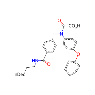 CCCCCCCCCCCCNC(=O)c1ccc(CN(C(=O)C(=O)O)c2ccc(Oc3ccccc3)cc2)cc1